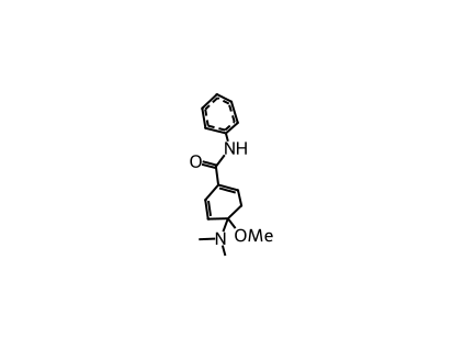 COC1(N(C)C)C=CC(C(=O)Nc2ccccc2)=CC1